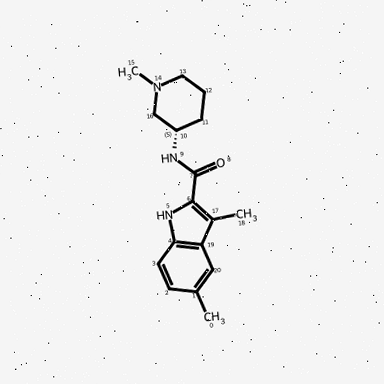 Cc1ccc2[nH]c(C(=O)N[C@H]3CCCN(C)C3)c(C)c2c1